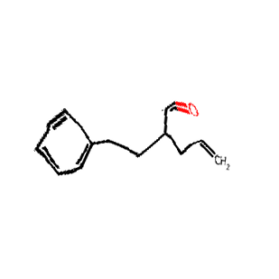 C=CCC([C]=O)CCc1ccccc1